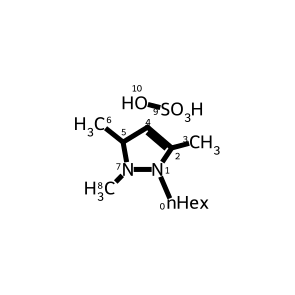 CCCCCCN1C(C)=CC(C)N1C.O=S(=O)(O)O